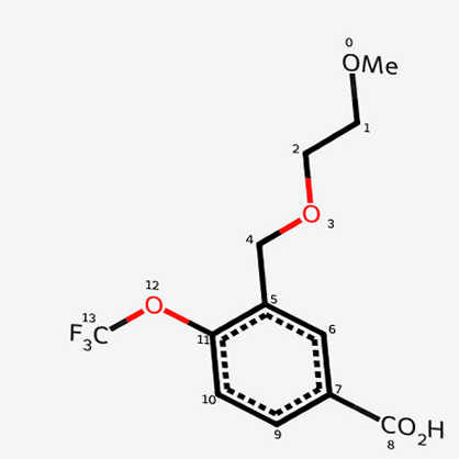 COCCOCc1cc(C(=O)O)ccc1OC(F)(F)F